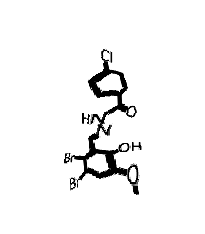 COc1cc(Br)c(Br)c(/C=N/NC(=O)c2ccc(Cl)cc2)c1O